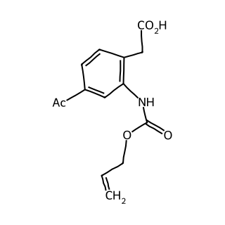 C=CCOC(=O)Nc1cc(C(C)=O)ccc1CC(=O)O